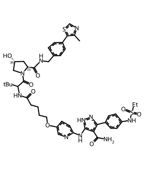 CCS(=O)(=O)Nc1ccc(-c2n[nH]c(Nc3ccc(OCCCCC(=O)NC(C(=O)N4C[C@H](O)C[C@H]4C(=O)NCc4ccc(-c5scnc5C)cc4)C(C)(C)C)cn3)c2C(N)=O)cc1